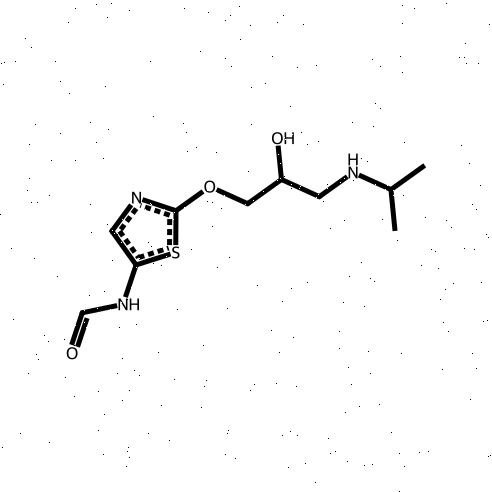 CC(C)NCC(O)COc1ncc(NC=O)s1